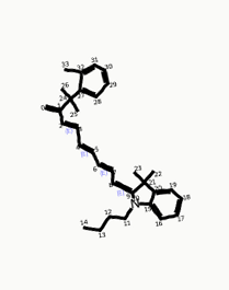 C=C(/C=C/C=C/C=C/C=C1/N(CCCC)c2ccccc2C1(C)C)C(C)(C)c1ccccc1C